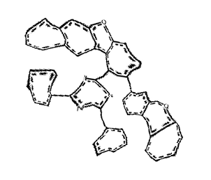 c1ccc(-c2nc(-c3ccccc3)nc(-c3c(-c4ccc5c(c4)oc4ccccc45)ccc4oc5cc6ccccc6cc5c34)n2)cc1